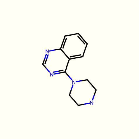 c1ccc2c(N3CC[N]CC3)ncnc2c1